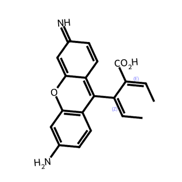 C/C=C(\C(=C/C)C(=O)O)c1c2ccc(=N)cc-2oc2cc(N)ccc12